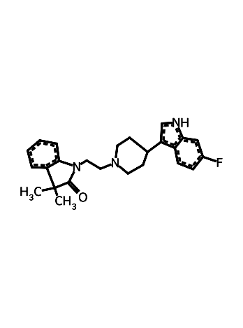 CC1(C)C(=O)N(CCN2CCC(c3c[nH]c4cc(F)ccc34)CC2)c2ccccc21